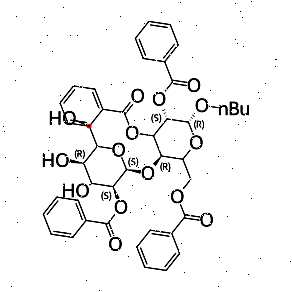 CCCCO[C@@H]1OC(COC(=O)c2ccccc2)[C@@H](O[C@@H]2OC(CO)[C@H](O)C(O)[C@@H]2OC(=O)c2ccccc2)C(OC(=O)c2ccccc2)[C@@H]1OC(=O)c1ccccc1